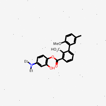 CCN(CC)c1ccc(OC(=O)c2cccc(-c3cc(C)ccc3OC)c2C(=O)O)c(O)c1